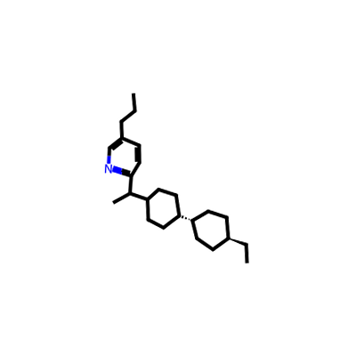 CCCc1ccc(C(C)C2CCC([C@H]3CC[C@H](CC)CC3)CC2)nc1